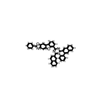 c1ccc(-c2nc3cc4oc5c(-c6nc(-c7ccc8ccccc8c7)nc(-c7cc8ccccc8cc7-c7ccccc7)n6)cccc5c4cc3o2)cc1